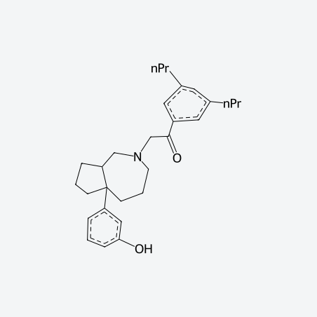 CCCc1cc(CCC)cc(C(=O)CN2CCCC3(c4cccc(O)c4)CCCC3C2)c1